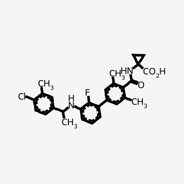 Cc1cc(C(C)Nc2cccc(-c3cc(C)c(C(=O)NC4(C(=O)O)CC4)c(C)c3)c2F)ccc1Cl